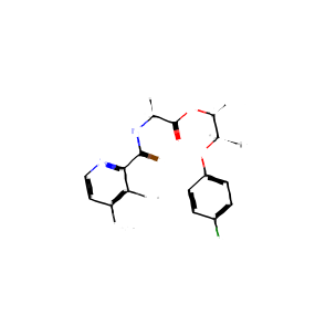 COc1ccnc(C(=S)N[C@@H](C)C(=O)O[C@@H](C)[C@H](Oc2ccc(Cl)cc2)C(C)C)c1OC(C)=O